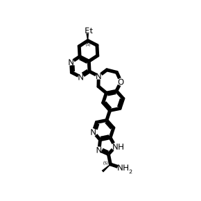 CC[C@H]1CCc2c(ncnc2N2CCOc3ccc(-c4cnc5nc([C@H](C)N)[nH]c5c4)cc3C2)C1